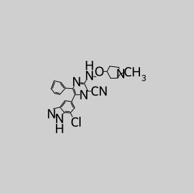 CN1CCC(OCNc2nc(-c3ccccc3)c(-c3cc(Cl)c4[nH]ncc4c3)nc2C#N)CC1